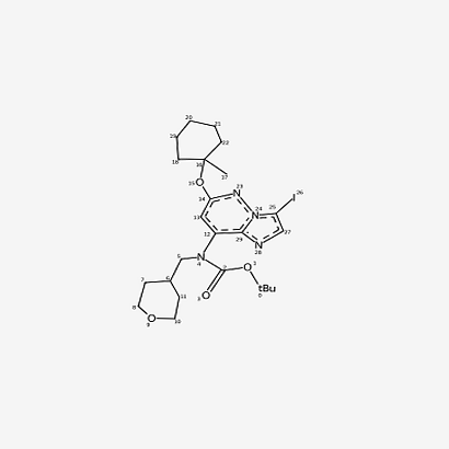 CC(C)(C)OC(=O)N(CC1CCOCC1)c1cc(OC2(C)CCCCC2)nn2c(I)cnc12